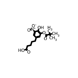 CC(C)(C)C(=O)Oc1cc(CCCCC(=O)O)cc([N+](=O)[O-])c1O